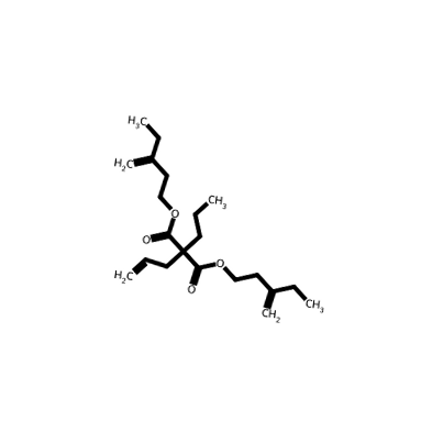 C=CCC(CCC)(C(=O)OCCC(=C)CC)C(=O)OCCC(=C)CC